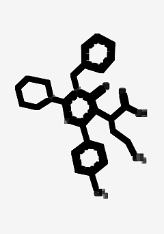 CCCC(C(=O)O)c1c(-c2ccc(C)cc2)nc(N2CCCCC2)n(Cc2ccccc2)c1=O